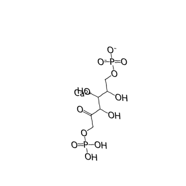 O=C(COP(=O)(O)O)C(O)C(O)C(O)COP(=O)([O-])[O-].[Ca+2]